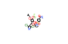 CN(C)C(=O)c1ccc(S(=O)(=O)N2CCC[C@H]2C(=O)O[C@@H](Cc2c(Cl)cncc2Cl)c2ccc(OC(F)F)c(OCC3CC3)c2)cc1